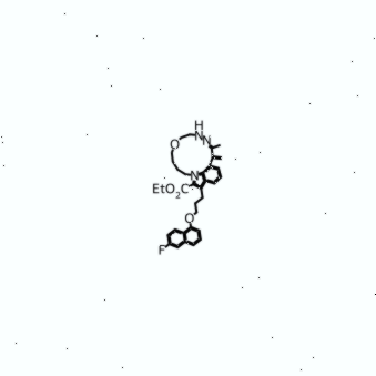 C=C1/C(C)=N\NCCOCCCCn2c(C(=O)OCC)c(CCCOc3cccc4cc(F)ccc34)c3cccc1c32